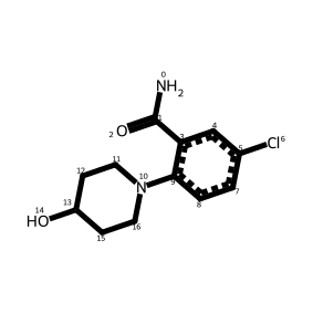 NC(=O)c1cc(Cl)ccc1N1CCC(O)CC1